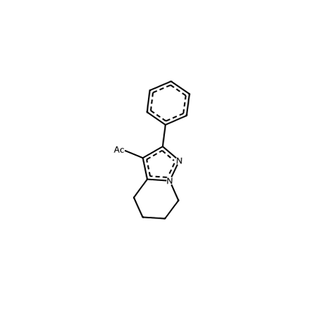 CC(=O)c1c(-c2ccccc2)nn2c1CCCC2